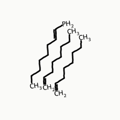 C=CCCCCCC.C=CCCCCCC.CCCCCCC=CP